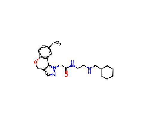 O=C(Cn1ncc2c1-c1cc([N+](=O)[O-])ccc1OC2)NCCNCC1CCCCC1